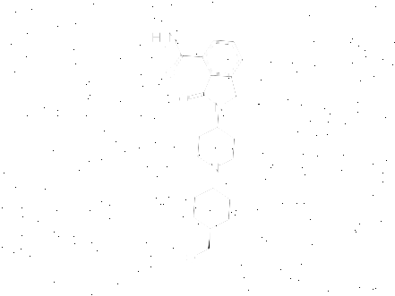 NC(=O)c1cccc2c1C(=O)N(C1CCN([C@H]3CC[C@H](CO)CC3)CC1)C2